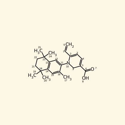 C=CC1=CC=C(C(=O)O)CN1c1cc2c(cc1C)C(C)(C)CCC2(C)C